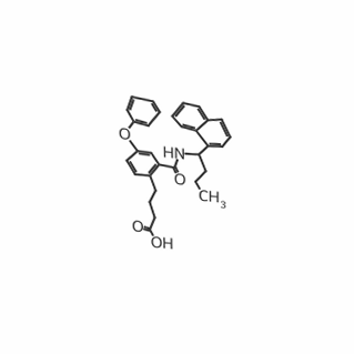 CCCC(NC(=O)c1cc(Oc2ccccc2)ccc1CCCC(=O)O)c1cccc2ccccc12